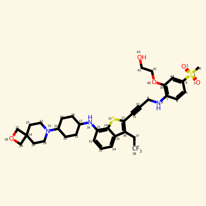 CS(=O)(=O)c1ccc(NCC#Cc2sc3c(NC4CCC(N5CCC6(CC5)COC6)CC4)cccc3c2CC(F)(F)F)c(OCCO)c1